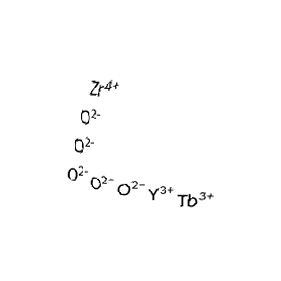 [O-2].[O-2].[O-2].[O-2].[O-2].[Tb+3].[Y+3].[Zr+4]